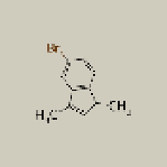 CC1=CC(C)c2ccc(Br)cc21